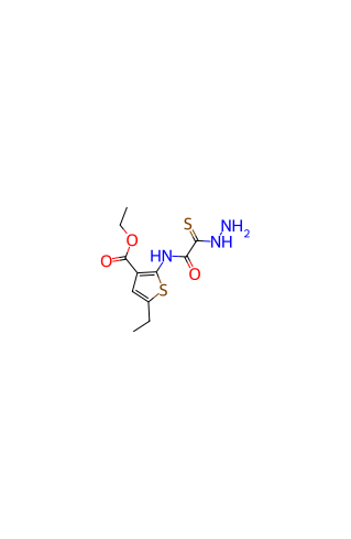 CCOC(=O)c1cc(CC)sc1NC(=O)C(=S)NN